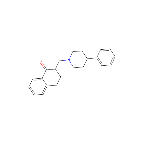 O=C1c2ccccc2CCC1CN1CCC(c2ccccc2)CC1